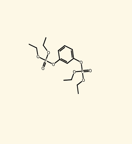 CCOP(=O)(OCC)Oc1cccc(OP(=O)(OCC)OCC)c1